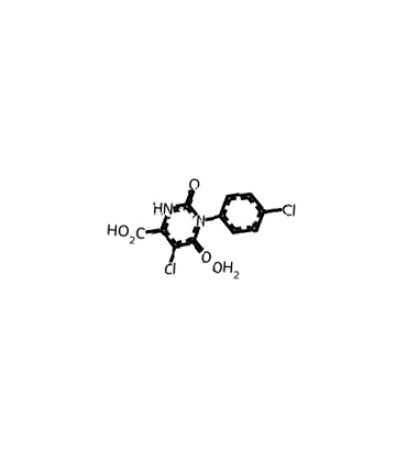 O.O=C(O)c1[nH]c(=O)n(-c2ccc(Cl)cc2)c(=O)c1Cl